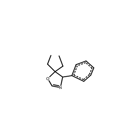 CCC1(CC)OC=NC1c1ccccc1